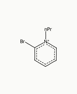 CCC[n+]1ccccc1Br